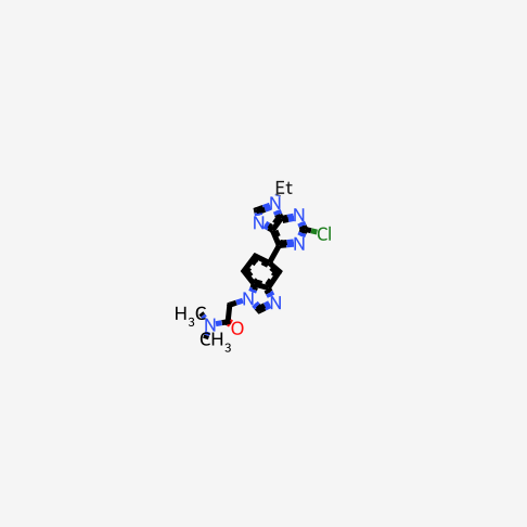 CCn1cnc2c(-c3ccc4c(c3)ncn4CC(=O)N(C)C)nc(Cl)nc21